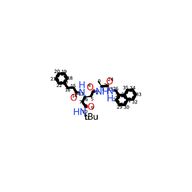 C[C@H](NC(=O)C[C@@H](CC(=O)NC(C)(C)C)NC(=O)CCc1ccccc1)C(=O)NCc1cccc2ccccc12